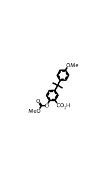 COC(=O)Oc1ccc(C(C)(C)c2ccc(OC)cc2)cc1C(=O)O